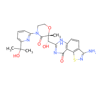 CC(C)(O)c1cccc(N2CCO[C@](C)([C@@H](O)c3nc(=O)c4c(ccc5c(N)nsc54)[nH]3)C2=O)n1